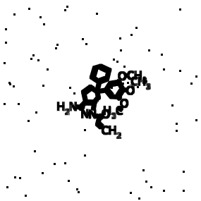 C=CC(=O)n1nc(N)c2c1CC(c1ccccc1)(c1cc(OC)c(OC)c(OC)c1)C=C2